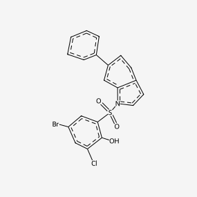 O=S(=O)(c1cc(Br)cc(Cl)c1O)n1ccc2ccc(-c3ccccc3)cc21